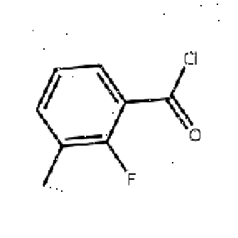 Cc1cccc(C(=O)Cl)c1F